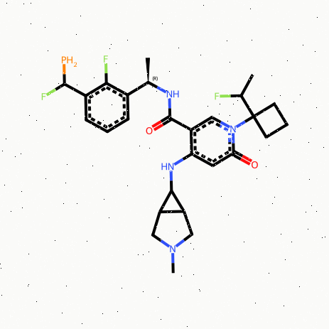 CC(F)C1(n2cc(C(=O)N[C@H](C)c3cccc(C(F)P)c3F)c(NC3C4CN(C)CC43)cc2=O)CCC1